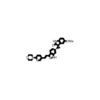 COc1ccc2c(c1)[C@]1(C[C@H]1c1ccc3c(/C=C/c4ccc(N5CCOCC5)nc4)n[nH]c3c1)C(=O)N2